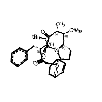 CO[C@H]([C@@H](C)C(=O)N[C@@H](Cc1ccccc1)C(=O)N1OC2C=CC1CC2)[C@@H]1CCCN1C(=O)OC(C)(C)C